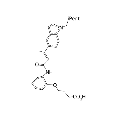 CCCC(C)Cn1ccc2cc(C(C)=CC(=O)Nc3ccccc3OCCCC(=O)O)ccc21